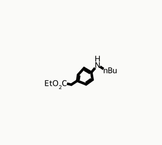 CCCCNc1ccc(CC(=O)OCC)cc1